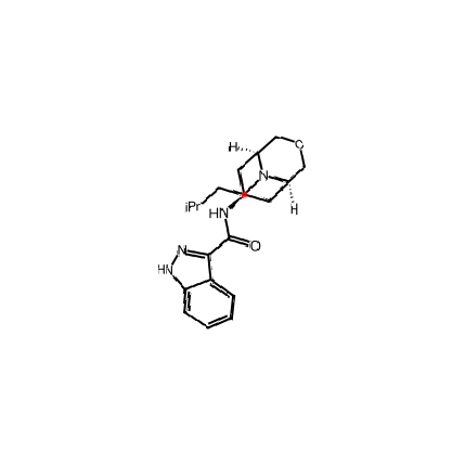 CC(C)CCN1[C@@H]2COC[C@H]1C[C@@H](NC(=O)c1n[nH]c3ccccc13)C2